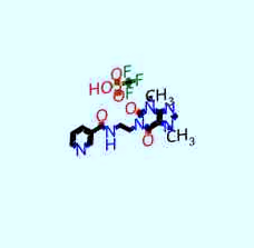 Cn1cnc2c1c(=O)n(CCNC(=O)c1cccnc1)c(=O)n2C.O=S(=O)(O)C(F)(F)F